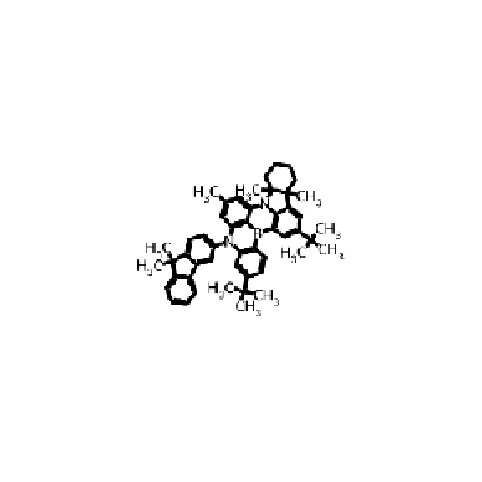 Cc1cc2c3c(c1)N1c4c(cc(C(C)(C)C)cc4C4(C)CCCCC14C)B3c1ccc(C(C)(C)C)cc1N2c1ccc2c(c1)-c1ccccc1C2(C)C